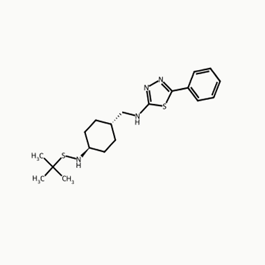 CC(C)(C)SN[C@H]1CC[C@H](CNc2nnc(-c3ccccc3)s2)CC1